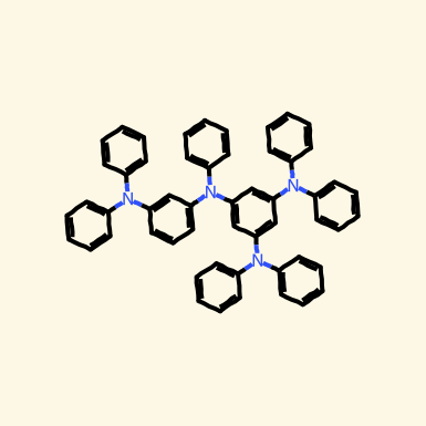 c1ccc(N(c2ccccc2)c2cccc(N(c3ccccc3)c3cc(N(c4ccccc4)c4ccccc4)cc(N(c4ccccc4)c4ccccc4)c3)c2)cc1